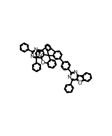 c1ccc(-c2nc(-c3ccccc3)nc(-c3cccc4c3C3(c5ccccc5Oc5ccccc53)c3cc(-c5ccc(-c6nc(-c7ccccc7)c7oc8ccccc8c7n6)cc5)ccc3-4)n2)cc1